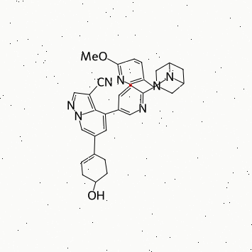 COc1ccc(CN2C3CC2CN(c2ccc(-c4cc(C5=CCC(O)CC5)cn5ncc(C#N)c45)cn2)C3)cn1